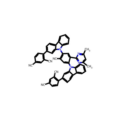 Cc1cc(C)nc(-c2cc(-n3c4ccccc4c4ccc(-c5ccc(C#N)cc5C#N)cc43)c(C#N)cc2-n2c3ccccc3c3ccc(-c4ccc(C#N)cc4C#N)cc32)n1